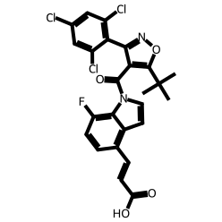 CC(C)(C)c1onc(-c2c(Cl)cc(Cl)cc2Cl)c1C(=O)n1ccc2c(/C=C/C(=O)O)ccc(F)c21